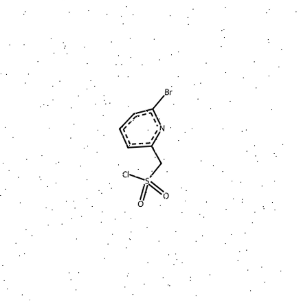 O=S(=O)(Cl)Cc1cccc(Br)n1